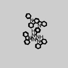 C1=CCCC(N2C3C=CCCC3C3C4=C(C=CC32)C2CCCCC2N4c2ccc(C3NC(N4C5=C(C=CCC5)C5C=CC=CC54)NC(N4C5=C(CCCC5)C5CCC=CC54)N3)cc2)=C1